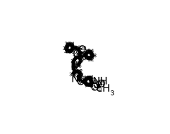 CS(=O)(=O)Nc1ccc(Oc2ccc(CN3CCC(N(c4ccccc4)S(=O)(=O)Cc4ccccc4)CC3)cn2)cc1